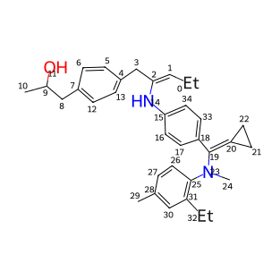 CC/C=C(/Cc1ccc(CC(C)O)cc1)Nc1ccc(C(=C2CC2)N(C)c2ccc(C)cc2CC)cc1